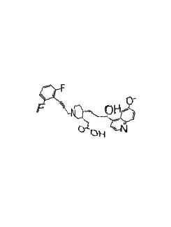 COc1ccc2nccc([C@@H](O)CC[C@@H]3CCN(CC#Cc4c(F)cccc4F)C[C@@H]3CC(=O)O)c2c1